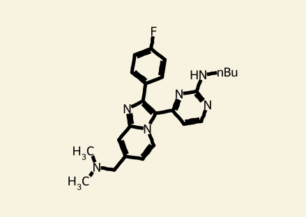 CCCCNc1nccc(-c2c(-c3ccc(F)cc3)nc3cc(CN(C)C)ccn23)n1